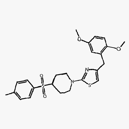 COc1ccc(OC)c(Cc2csc(N3CCC(S(=O)(=O)c4ccc(C)cc4)CC3)n2)c1